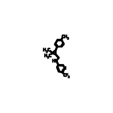 Cc1ccc(C2C(CNc3ccc(C(F)(F)F)nc3)C2(C)C)cc1